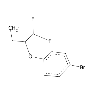 [CH2]CC(Oc1ccc(Br)cc1)C(F)F